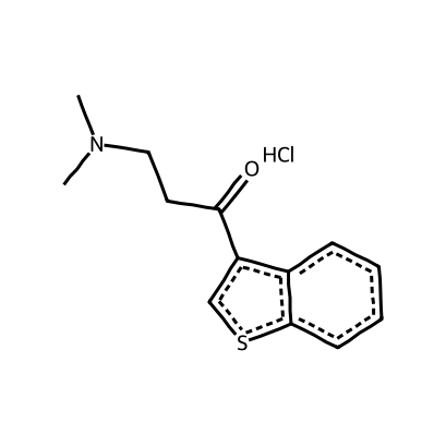 CN(C)CCC(=O)c1csc2ccccc12.Cl